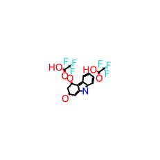 O=C(O)C(F)(F)F.O=C(O)C(F)(F)F.O=C1C=C2N=c3ccccc3=C2C(=O)C1